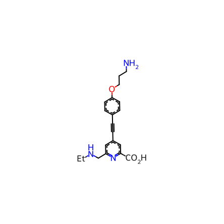 CCNCc1cc(C#Cc2ccc(OCCCN)cc2)cc(C(=O)O)n1